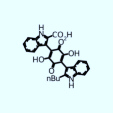 CCCCc1[nH]c2ccccc2c1C1=C(O)C(=O)C(c2c(C(=O)O)[nH]c3ccccc23)=C(O)C1=O